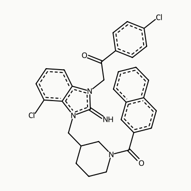 N=c1n(CC(=O)c2ccc(Cl)cc2)c2cccc(Cl)c2n1CC1CCCN(C(=O)c2ccc3ccccc3c2)C1